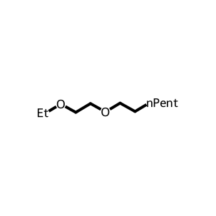 [CH2]CCCCCCOCCOCC